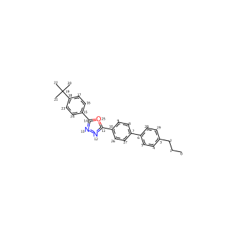 CCCc1ccc(-c2ccc(-c3nnc(-c4ccc(C(C)(C)C)cc4)o3)cc2)cc1